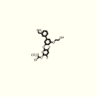 CCC(Oc1nc(Oc2cc(OCCO)cc(-c3cccc(CN)c3)c2)c(F)cc1F)C(=O)O